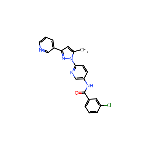 O=C(Nc1ccc(-n2nc(-c3cccnc3)cc2C(F)(F)F)nc1)c1cccc(Cl)c1